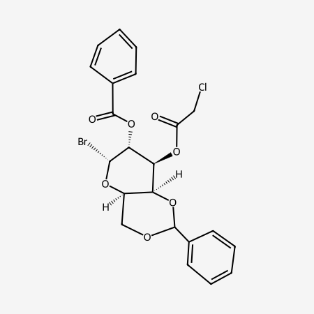 O=C(CCl)O[C@@H]1[C@@H](OC(=O)c2ccccc2)[C@@H](Br)O[C@@H]2COC(c3ccccc3)O[C@H]12